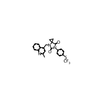 Cc1cc(CN2C(=O)N(c3ccc(SC(F)(F)F)cc3)C(=O)C23CC3)c2ccccc2n1